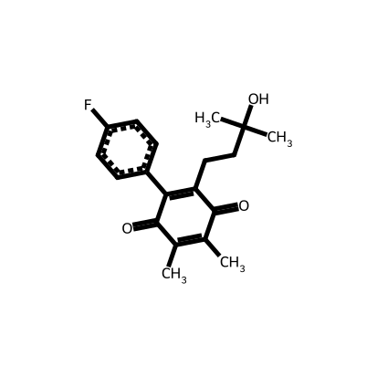 CC1=C(C)C(=O)C(c2ccc(F)cc2)=C(CCC(C)(C)O)C1=O